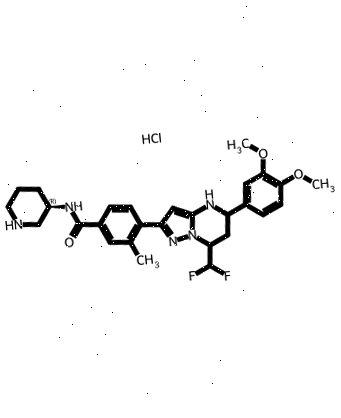 COc1ccc(C2CC(C(F)F)n3nc(-c4ccc(C(=O)N[C@@H]5CCCNC5)cc4C)cc3N2)cc1OC.Cl